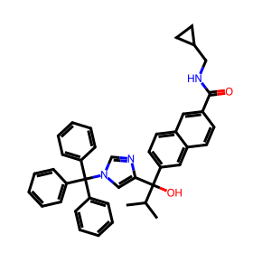 CC(C)C(O)(c1ccc2cc(C(=O)NCC3CC3)ccc2c1)c1cn(C(c2ccccc2)(c2ccccc2)c2ccccc2)cn1